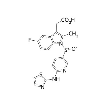 Cc1c(CC(=O)O)c2cc(F)ccc2n1[S+]([O-])c1ccc(Nc2nccs2)nc1